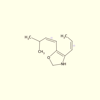 C/C=C\C1=C(/C=C\C(C)C)OCN1